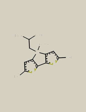 CCCCCCC(CCCC)C[Si]1(CCCCCC)c2cc(C)sc2-c2sc(C)cc21